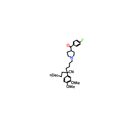 CCCCCCCCCCCCC(C#N)(CCCCN1CCC(C(=O)c2ccc(F)cc2)CC1)c1ccc(OC)c(OC)c1